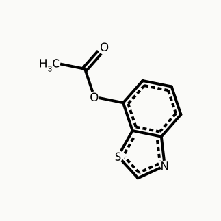 CC(=O)Oc1cccc2ncsc12